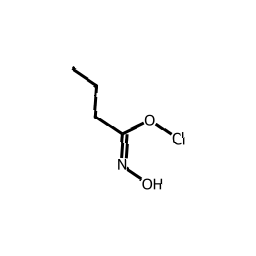 CCCC(=NO)OCl